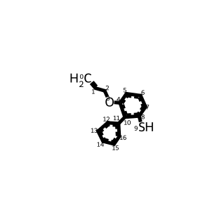 C=CCOc1cccc(S)c1-c1ccccc1